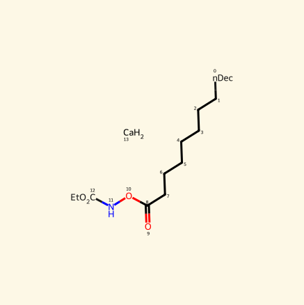 CCCCCCCCCCCCCCCCCC(=O)ONC(=O)OCC.[CaH2]